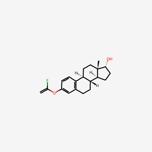 C=C(F)Oc1ccc2c(c1)CC[C@@H]1[C@@H]2CC[C@]2(C)[C@H](O)CC[C@@H]12